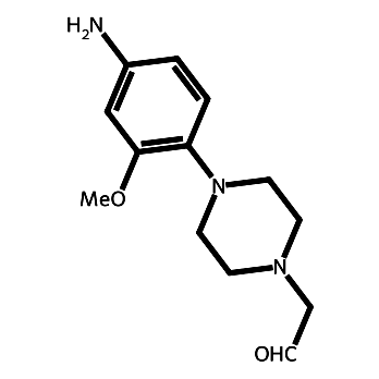 COc1cc(N)ccc1N1CCN(CC=O)CC1